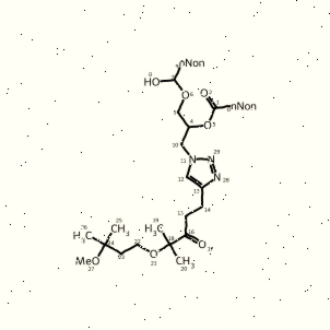 CCCCCCCCCC(=O)OC(COC(O)CCCCCCCCC)Cn1cc(CCC(=O)C(C)(C)OCCC(C)(C)OC)nn1